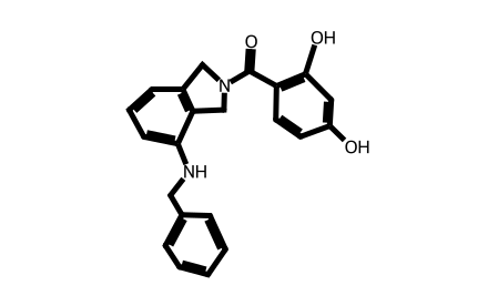 O=C(c1ccc(O)cc1O)N1Cc2cccc(NCc3ccccc3)c2C1